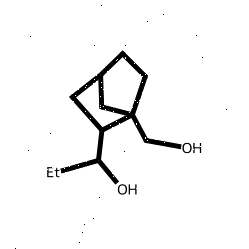 CCC(O)C1CC2CCC1(CO)C2